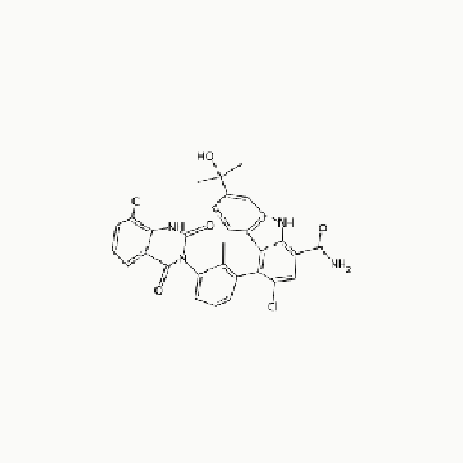 Cc1c(-c2c(Cl)cc(C(N)=O)c3[nH]c4cc(C(C)(C)O)ccc4c23)cccc1-n1c(=O)[nH]c2c(Cl)cccc2c1=O